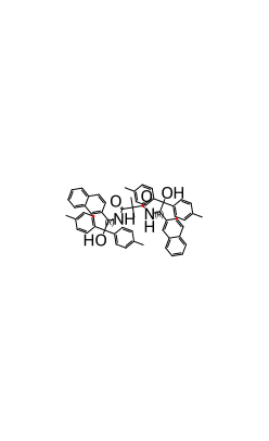 Cc1ccc(C(O)(c2ccc(C)cc2)[C@H](NC(=O)C(C)(C)C(=O)N[C@H](c2ccc3ccccc3c2)C(O)(c2ccc(C)cc2)c2ccc(C)cc2)c2ccc3ccccc3c2)cc1